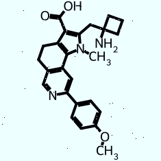 COc1ccc(-c2cc3c(cn2)CCc2c(C(=O)O)c(CC4(N)CCC4)n(C)c2-3)cc1